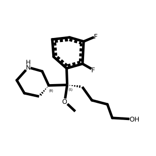 CO[C@](CCCCO)(c1cccc(F)c1F)[C@@H]1CCCNC1